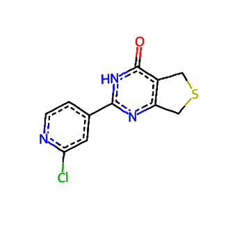 O=c1[nH]c(-c2ccnc(Cl)c2)nc2c1CSC2